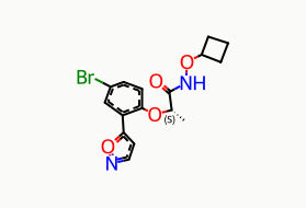 C[C@H](Oc1ccc(Br)cc1-c1ccno1)C(=O)NOC1CCC1